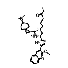 CCC(=O)CCCCC[C@H](NC(=O)C1CC12CCC(N(C)C)CC2)c1ncc(-c2cc3ccccc3nc2OC)[nH]1